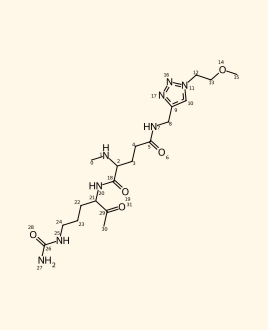 CNC(CCC(=O)NCc1cn(CCOC)nn1)C(=O)NC(CCCNC(N)=O)C(C)=O